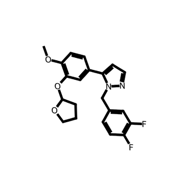 COc1ccc(-c2ccnn2Cc2ccc(F)c(F)c2)cc1OC1CCCO1